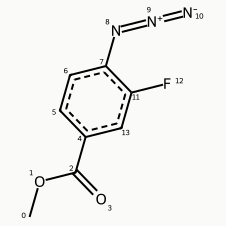 COC(=O)c1ccc(N=[N+]=[N-])c(F)c1